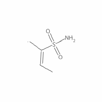 [CH2]C(=CC)S(N)(=O)=O